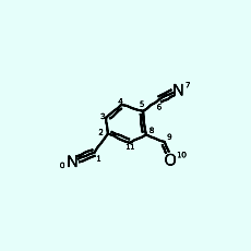 N#Cc1ccc(C#N)c(C=O)c1